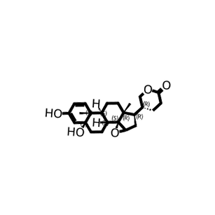 C[C@]12C=CC(O)=C[C@@]1(O)CC[C@@H]1[C@@H]2CC[C@]2(C)[C@@H]([C@H]3CCC(=O)OC3)CC3O[C@@]312